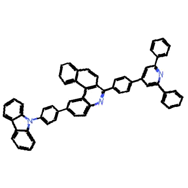 c1ccc(-c2cc(-c3ccc(-c4nc5ccc(-c6ccc(-n7c8ccccc8c8ccccc87)cc6)cc5c5c4ccc4ccccc45)cc3)cc(-c3ccccc3)n2)cc1